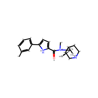 Cc1cccc(-c2ccc(C(=O)N(C)[C@H]3CN4CCC3CC4)[nH]2)c1